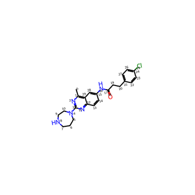 Cc1nc(N2CCCNCC2)nc2ccc(NC(=O)CCc3ccc(Cl)cc3)cc12